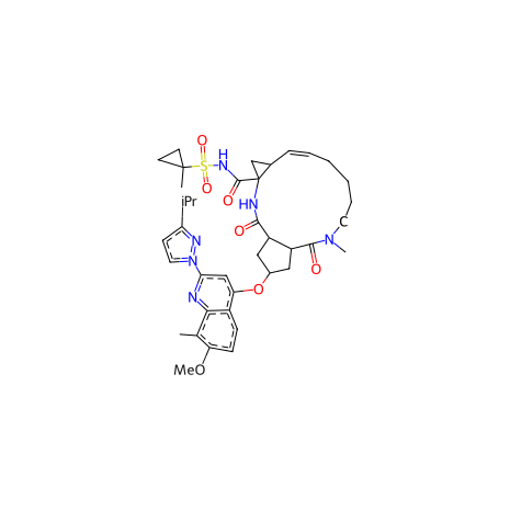 COc1ccc2c(OC3CC4C(=O)NC5(C(=O)NS(=O)(=O)C6(C)CC6)CC5C=CCCCCN(C)C(=O)C4C3)cc(-n3ccc(C(C)C)n3)nc2c1C